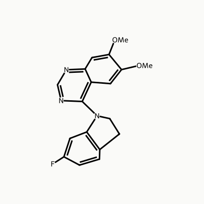 COc1cc2ncnc(N3CCc4ccc(F)cc43)c2cc1OC